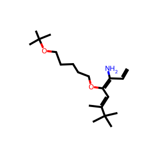 C=C/C(N)=C(\C=C(/C)C(C)(C)C)OCCCCCOC(C)(C)C